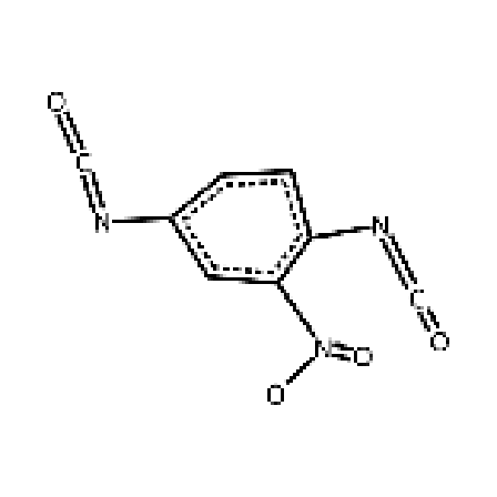 O=C=Nc1ccc(N=C=O)c([N+](=O)[O-])c1